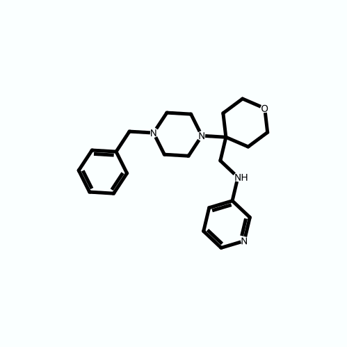 c1ccc(CN2CCN(C3(CNc4cccnc4)CCOCC3)CC2)cc1